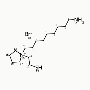 NCCCCCCCCC[N+]1(CCS)CCCC1.[Br-]